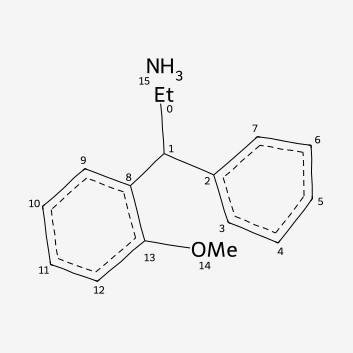 CCC(c1ccccc1)c1ccccc1OC.N